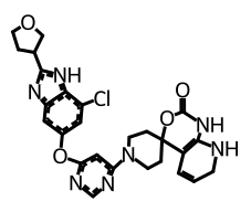 O=C1NC2=C(C=CCN2)C2(CCN(c3cc(Oc4cc(Cl)c5[nH]c(C6CCOC6)nc5c4)ncn3)CC2)O1